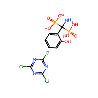 Clc1nc(Cl)nc(Cl)n1.NC(c1ccccc1O)(P(=O)(O)O)P(=O)(O)O